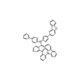 c1ccc(-c2ccc(N(c3ccc(-c4ccc5oc6ccccc6c5c4)cc3)c3ccc(-c4ccccc4-n4c5ccccc5c5ccccc54)c4ccccc34)cc2)cc1